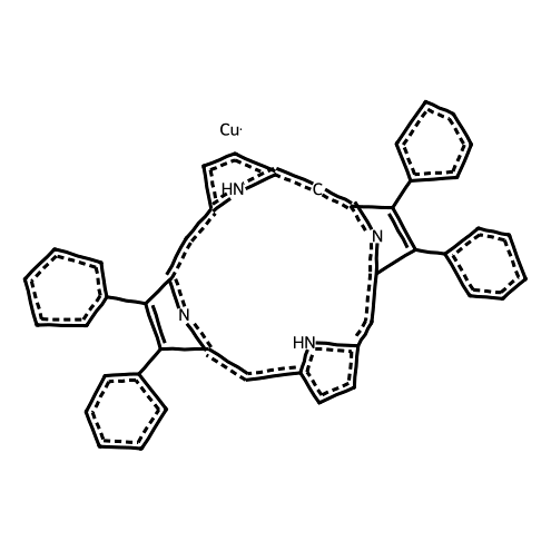 [Cu].c1ccc(C2=C(c3ccccc3)c3cc4ccc(cc5nc(cc6ccc(cc2n3)[nH]6)C(c2ccccc2)=C5c2ccccc2)[nH]4)cc1